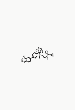 CCC(CCN(C)C(=O)C1CC1)C1(c2ccc(-c3ccc4cccnc4c3)cc2)OCCO1